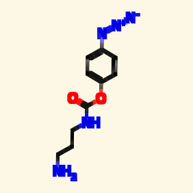 [N-]=[N+]=Nc1ccc(OC(=O)NCCCN)cc1